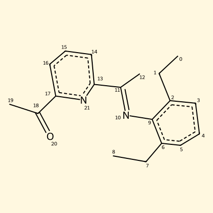 CCc1cccc(CC)c1/N=C(\C)c1cccc(C(C)=O)n1